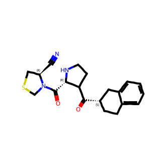 N#C[C@@H]1CSCN1C(=O)[C@@H]1NCCC1C(=O)[C@H]1CCc2ccccc2C1